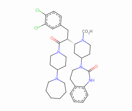 O=C(C(Cc1ccc(Cl)c(Cl)c1)[C@H]1CC(N2CCc3ccccc3NC2=O)CCN1C(=O)O)N1CCC(N2CCCCCC2)CC1